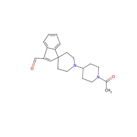 CC(=O)N1CCC(N2CCC3(C=C(C=O)c4ccccc43)CC2)CC1